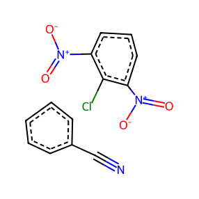 N#Cc1ccccc1.O=[N+]([O-])c1cccc([N+](=O)[O-])c1Cl